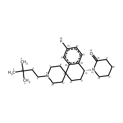 CC(C)(C)CCN1CCC2(CC[C@@H](N3CCCCC3=O)c3ccc(F)cc32)CC1